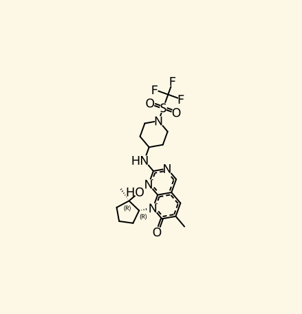 Cc1cc2cnc(NC3CCN(S(=O)(=O)C(F)(F)F)CC3)nc2n([C@@H]2CCC[C@@]2(C)O)c1=O